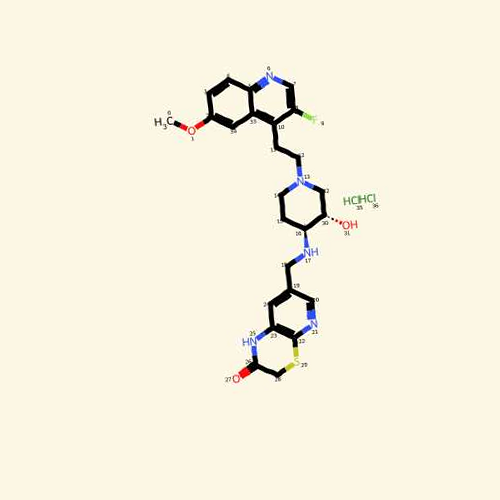 COc1ccc2ncc(F)c(CCN3CC[C@H](NCc4cnc5c(c4)NC(=O)CS5)[C@@H](O)C3)c2c1.Cl.Cl